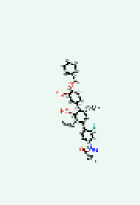 COc1cc(-c2ccc(NC(=O)C(F)(F)F)cc2F)c(OC)c(O)c1-c1ccc(OCc2ccccc2)c(O)c1